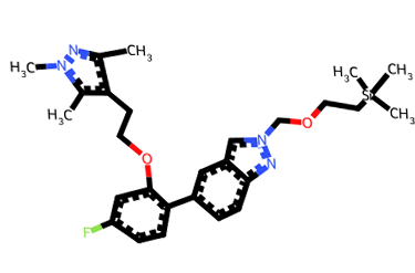 Cc1nn(C)c(C)c1CCOc1cc(F)ccc1-c1ccc2nn(COCC[Si](C)(C)C)cc2c1